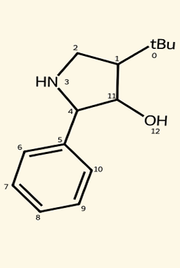 CC(C)(C)C1CNC(c2ccccc2)C1O